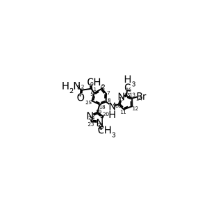 C=C(C(N)=O)c1ccc(Nc2ccc(Br)c(C)n2)c(-c2cn(C)cn2)c1